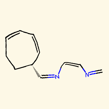 C=N/C=C\N=C/[C@H]1C=CC=CCC1